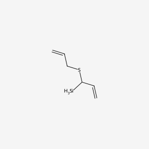 C=CCSC([SiH3])C=C